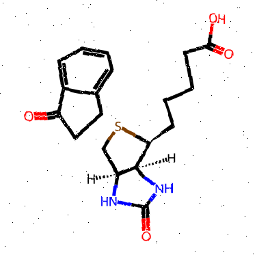 O=C(O)CCCC[C@@H]1SC[C@@H]2NC(=O)N[C@@H]21.O=C1CCc2ccccc21